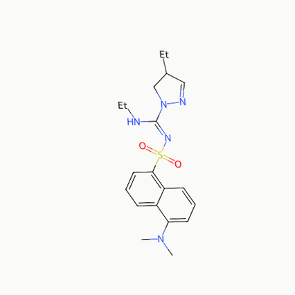 CCN/C(=N\S(=O)(=O)c1cccc2c(N(C)C)cccc12)N1CC(CC)C=N1